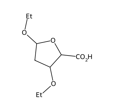 CCOC1CC(OCC)C(C(=O)O)O1